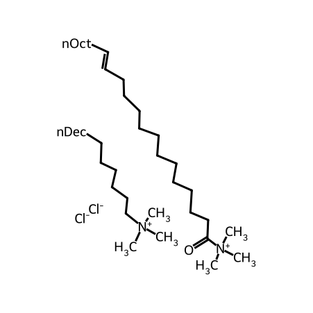 CCCCCCCCC=CCCCCCCCCCCCC(=O)[N+](C)(C)C.CCCCCCCCCCCCCCCC[N+](C)(C)C.[Cl-].[Cl-]